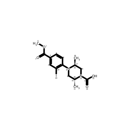 COC(=O)c1ccc(N2C[C@@H](C)N(C(=O)O)C[C@@H]2C)c(I)c1